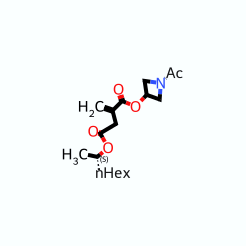 C=C(CC(=O)O[C@@H](C)CCCCCC)C(=O)OC1CN(C(C)=O)C1